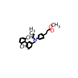 CCCN(Cc1cccc(-c2c(C)cccc2C)c1)c1ccc(CCC(=O)OC)cc1